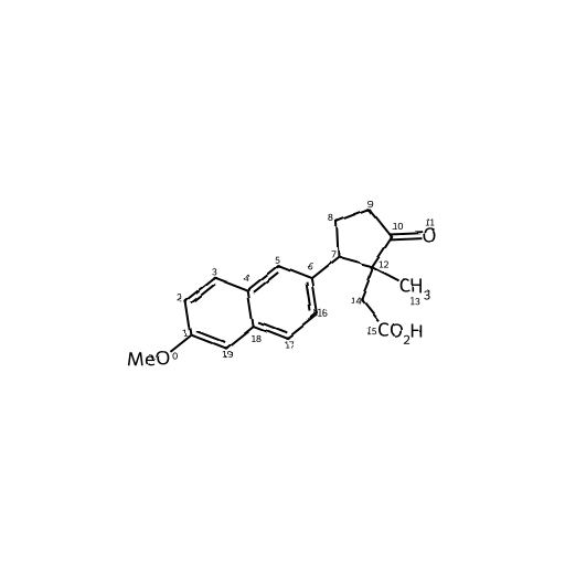 COc1ccc2cc(C3CCC(=O)C3(C)CC(=O)O)ccc2c1